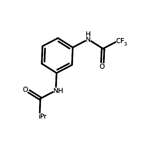 CC(C)C(=O)Nc1cccc(NC(=O)C(F)(F)F)c1